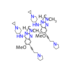 COc1cc2c(NC3CCN(C4CC4)CC3)nc(N(C)C)nc2cc1C#CCCN1CCCC1.COc1cc2c(NC3CCN(C4CC4)CC3)nc(N(C)C)nc2cc1C#CCCN1CCCC1